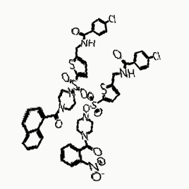 O=C(NCc1ccc(S(=O)(=O)N2CCN(C(=O)c3cccc4ccccc34)CC2)s1)c1ccc(Cl)cc1.O=C(NCc1ccc(S(=O)(=O)ON2CCN(C(=O)c3ccccc3[N+](=O)[O-])CC2)s1)c1ccc(Cl)cc1